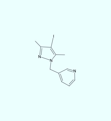 Cc1nn(Cc2cccnc2)c(C)c1I